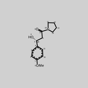 COc1ccc([C@H](O)CC(=O)N2CCCC2)cc1